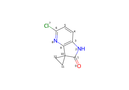 O=C1Nc2ccc(Cl)nc2C12CC2